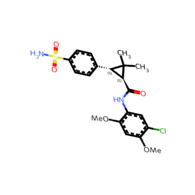 COc1cc(OC)c(NC(=O)[C@H]2[C@H](c3ccc(S(N)(=O)=O)cc3)C2(C)C)cc1Cl